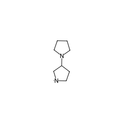 C1CCN(C2CC[N]C2)C1